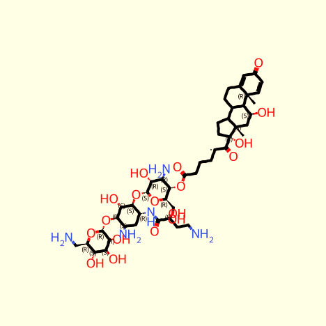 C[C@]12C=CC(=O)C=C1CCC1C2[C@@H](O)C[C@@]2(C)C1CC[C@]2(O)C(=O)[CH]CCCC(=O)O[C@H]1[C@H](N)[C@@H](O)[C@@H](O[C@@H]2[C@@H](O)[C@H](O[C@H]3O[C@H](CN)[C@@H](O)[C@H](O)[C@H]3O)[C@@H](N)C[C@H]2NC(=O)[C@@H](O)CCN)O[C@@H]1CO